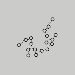 c1ccc(-c2cccc(N(c3ccc(-c4cccc5oc6cc7nc(-c8ccccc8)oc7cc6c45)cc3)c3ccc4c(c3)c3ccccc3n4-c3ccc(-c4cccc(-n5c6ccccc6c6c(N(c7ccc(-c8cccc9c8oc8cc%10oc(-c%11ccccc%11)nc%10cc89)cc7)c7cccc(-c8ccccc8)c7)cccc65)c4)cc3)c2)cc1